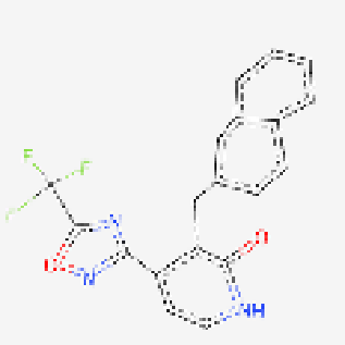 O=c1[nH]ccc(-c2noc(C(F)(F)F)n2)c1Cc1ccc2ccccc2c1